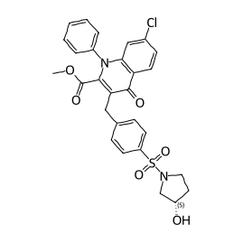 COC(=O)c1c(Cc2ccc(S(=O)(=O)N3CC[C@H](O)C3)cc2)c(=O)c2ccc(Cl)cc2n1-c1ccccc1